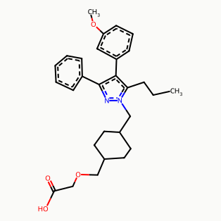 CCCc1c(-c2cccc(OC)c2)c(-c2ccccc2)nn1CC1CCC(COCC(=O)O)CC1